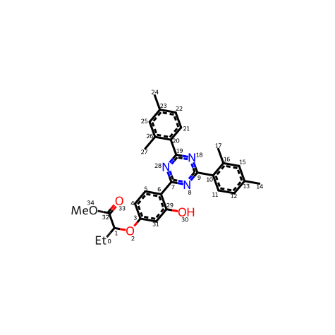 CCC(Oc1ccc(-c2nc(-c3ccc(C)cc3C)nc(-c3ccc(C)cc3C)n2)c(O)c1)C(=O)OC